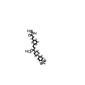 CS(=O)(=O)c1ccc(N2CCN(C(=O)/C=C/c3cccc(/C=C/C(=O)NO)n3)CC2)cc1.Cl